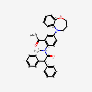 COC(=O)c1cc(N2CCCOc3ccccc32)ccc1N(C)C(=O)C(c1ccccc1)c1ccccc1